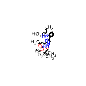 C=CCC(Nc1ccccc1-c1cn(COCC[Si](C)(C)C)c([C@H](CC=C)NC(=O)OC(C)(C)C)n1)C(=O)O